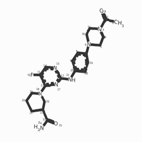 CC(=O)N1CCN(c2ccc(Nc3ncc(F)c(N4CCCC(C(N)=O)C4)n3)cc2)CC1